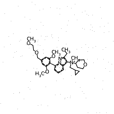 CCc1nn2c(-c3c(OC)cc(COCCOC)cc3OC)cccc2c1[N+](C)(CC1CC1)C1CCOCC1